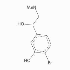 CNCC(O)c1ccc(Br)c(O)c1